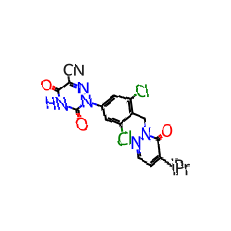 CC(C)c1ccnn(Cc2c(Cl)cc(-n3nc(C#N)c(=O)[nH]c3=O)cc2Cl)c1=O